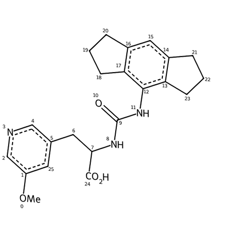 COc1cncc(CC(NC(=O)Nc2c3c(cc4c2CCC4)CCC3)C(=O)O)c1